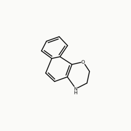 c1ccc2c3c(ccc2c1)NCCO3